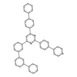 c1ccc(-c2ccc(-c3cc(-c4cccc(-c5cccc(-c6ccccc6)c5)c4)nc(-c4ccc(-c5ccncc5)cc4)n3)cc2)cc1